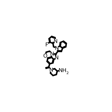 C=C(c1cc2c3c(c1)nc(-c1cc4ccccc4n1Cc1ncccc1F)n3CCO2)N1CCCC(N)C1